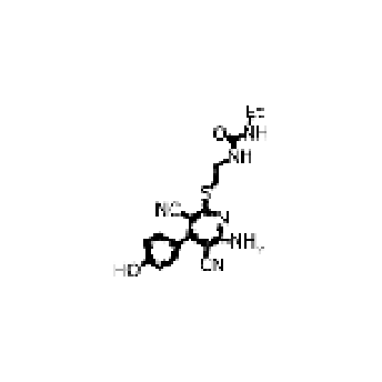 CCNC(=O)NCCSc1nc(N)c(C#N)c(-c2ccc(O)cc2)c1C#N